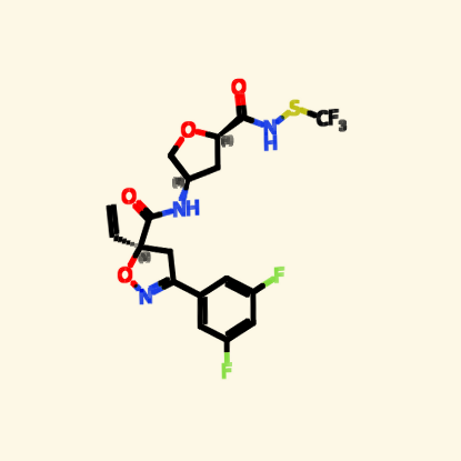 C=C[C@]1(C(=O)N[C@H]2CO[C@@H](C(=O)NSC(F)(F)F)C2)CC(c2cc(F)cc(F)c2)=NO1